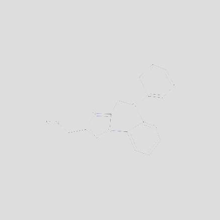 CNCc1nc2n(n1)-c1cccnc1N(c1ccccc1)C2